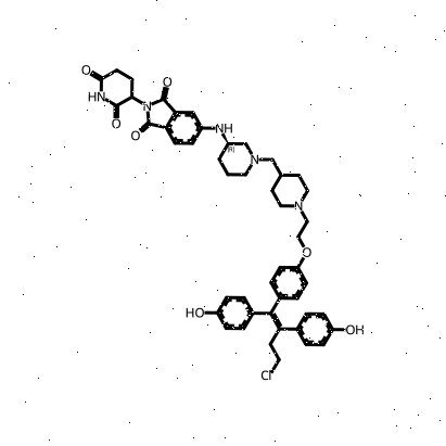 O=C1CCC(N2C(=O)c3ccc(N[C@@H]4CCCN(CC5CCN(CCOc6ccc(C(=C(CCCl)c7ccc(O)cc7)c7ccc(O)cc7)cc6)CC5)C4)cc3C2=O)C(=O)N1